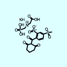 CS(=O)(=O)c1ccc(C(=O)C2C(=O)CCCC2=O)c([N+](=O)[O-])c1.O=C(O)CNCP(=O)(O)O.[KH]